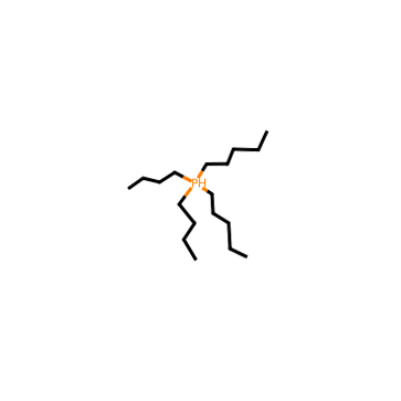 CCCCC[PH](CCCC)(CCCC)CCCCC